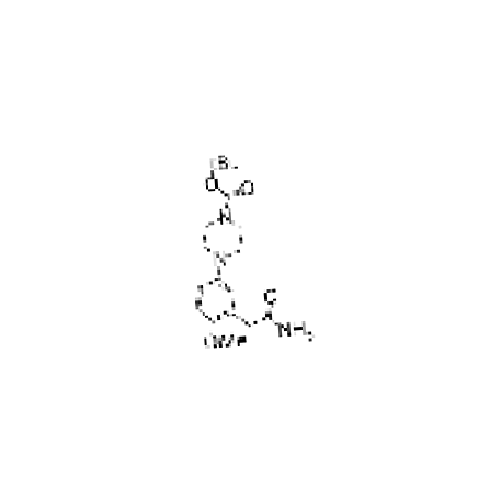 COc1ccc(N2CCN(C(=O)OC(C)(C)C)CC2)cc1CC(N)=O